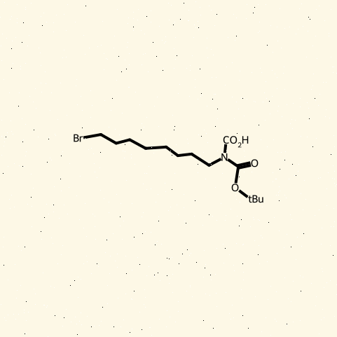 CC(C)(C)OC(=O)N(CCCCCCCCBr)C(=O)O